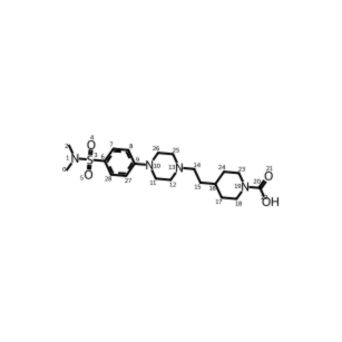 CN(C)S(=O)(=O)c1ccc(N2CCN(CCC3CCN(C(=O)O)CC3)CC2)cc1